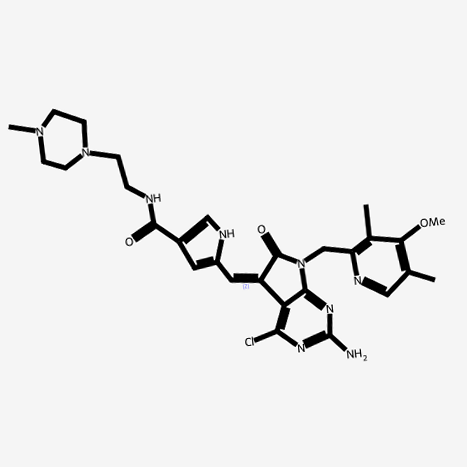 COc1c(C)cnc(CN2C(=O)/C(=C\c3cc(C(=O)NCCN4CCN(C)CC4)c[nH]3)c3c(Cl)nc(N)nc32)c1C